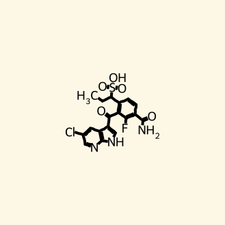 CCC(c1ccc(C(N)=O)c(F)c1C(=O)c1c[nH]c2ncc(Cl)cc12)S(=O)(=O)O